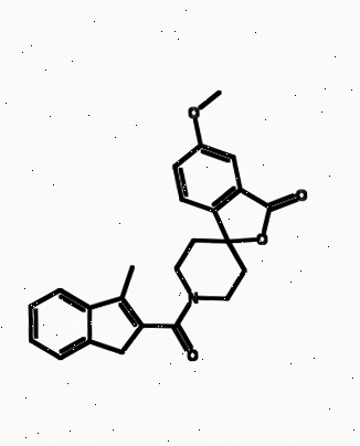 COc1ccc2c(c1)C(=O)OC21CCN(C(=O)C2=C(C)c3ccccc3C2)CC1